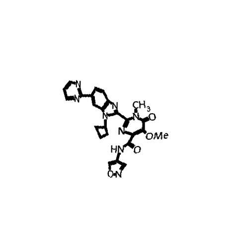 COc1c(C(=O)Nc2cnoc2)nc(-c2nc3ccc(-c4ncccn4)cc3n2C2CCC2)n(C)c1=O